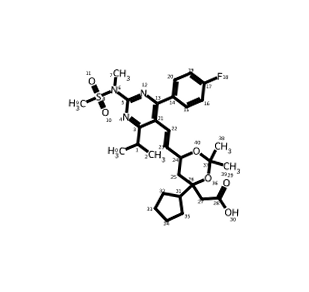 CC(C)c1nc(N(C)S(C)(=O)=O)nc(-c2ccc(F)cc2)c1C=CC1CC(CC(=O)O)(C2CCCC2)OC(C)(C)O1